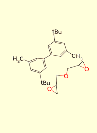 C(OCC1CO1)C1CO1.Cc1cc(-c2cc(C)cc(C(C)(C)C)c2)cc(C(C)(C)C)c1